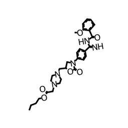 CCCCOC(=O)CN1CCN(CC2CN(c3ccc(C(=N)NC(=O)c4ccccc4OC)cc3)C(=O)O2)CC1